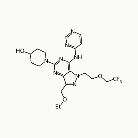 CCOCc1nn(CCOCC(F)(F)F)c2c(Nc3ccncn3)nc(N3CCC(O)CC3)nc12